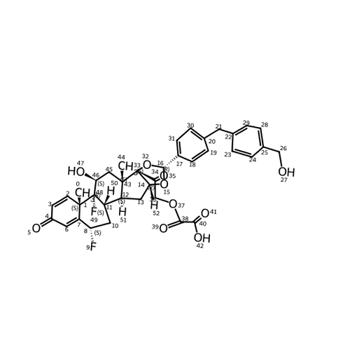 C[C@]12C=CC(=O)C=C1[C@@H](F)C[C@H]1[C@@H]3C[C@H]4O[C@@H](c5ccc(Cc6ccc(CO)cc6)cc5)O[C@@]4(C(=O)COC(=O)C(=O)O)[C@@]3(C)C[C@H](O)[C@@]12F